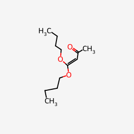 CCCCOC(=CC(C)=O)OCCCC